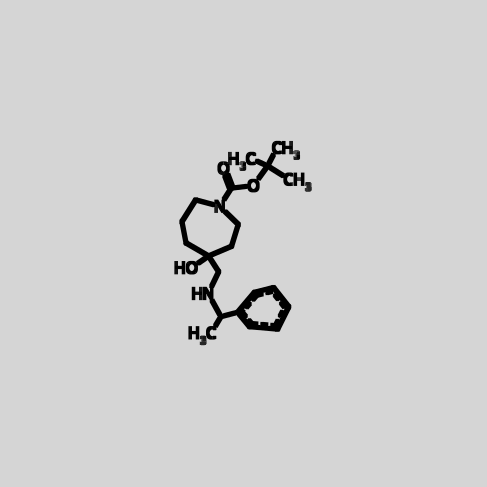 CC(NCC1(O)CCCN(C(=O)OC(C)(C)C)CC1)c1ccccc1